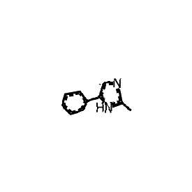 Cc1n[c]c(-c2ccccc2)[nH]1